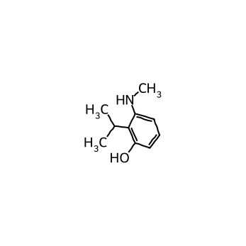 CNc1cccc(O)c1C(C)C